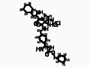 Cl.Cl.N=C(NC(=O)OCc1ccccc1)c1ccc(CNC(=O)[C@]23C[C@H]2CCN3C(=O)[C@H](N)CC2CCCCC2)cc1